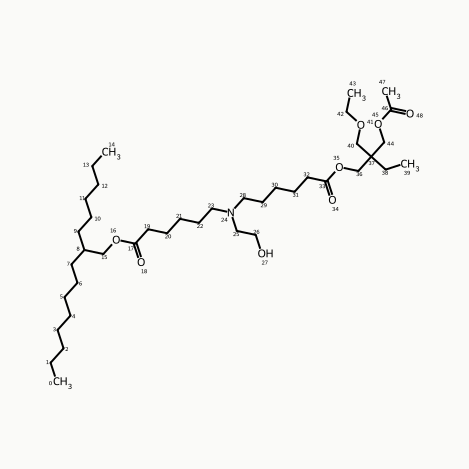 CCCCCCCCC(CCCCCC)COC(=O)CCCCCN(CCO)CCCCCC(=O)OCC(CC)(COCC)COC(C)=O